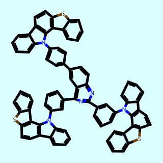 c1cc(-c2nc(-c3cccc(-n4c5ccccc5c5ccc6sc7ccccc7c6c54)c3)c3cc(-c4ccc(-n5c6ccccc6c6ccc7sc8ccccc8c7c65)cc4)ccc3n2)cc(-n2c3ccccc3c3ccc4sc5ccccc5c4c32)c1